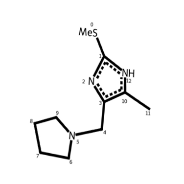 CSc1nc(CN2CCCC2)c(C)[nH]1